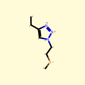 CCc1cn(CCSC)nn1